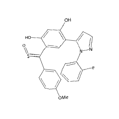 COc1ccc(C(=S=O)c2cc(-c3ccnn3-c3ccccc3F)c(O)cc2O)cc1